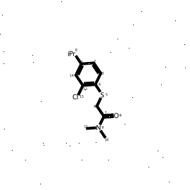 CC(C)c1ccc(SCC(=O)N(C)C)c(Cl)c1